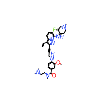 C=Cc1c(C#CCNc2ccc(C(=O)N(C)CCN(C)C)cc2OC)nn2c(N[C@@H]3CCN(C)C[C@@H]3F)cccc12